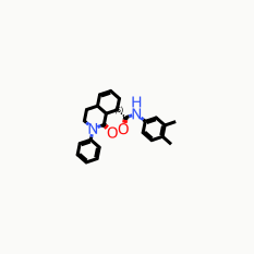 Cc1ccc(NC(=O)[C@H]2CC=CC3CCN(c4ccccc4)C(=O)C32)cc1C